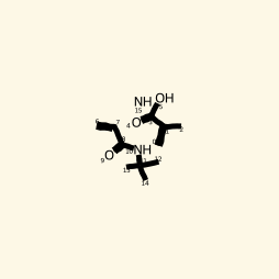 C=C(C)C(=O)O.C=CC(=O)NC(C)(C)C.N